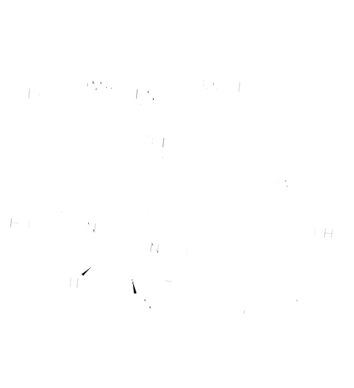 COc1c(C)cc2c(c1O)C1C3[C@H](SCC(N)C(=O)O)C4C[C@@H](c5c6c(c(C)c(OC(C)=O)c54)OCO6)N3[C@@H](C#N)[C@@H]3CC2(C)N13